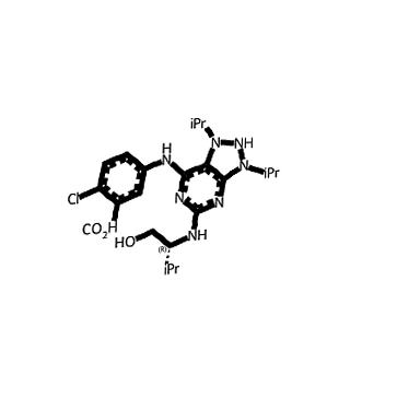 CC(C)[C@H](CO)Nc1nc(Nc2ccc(Cl)c(C(=O)O)c2)c2c(n1)N(C(C)C)NN2C(C)C